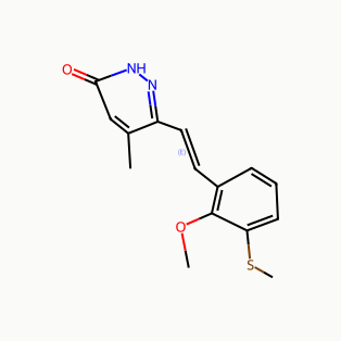 COc1c(/C=C/c2n[nH]c(=O)cc2C)cccc1SC